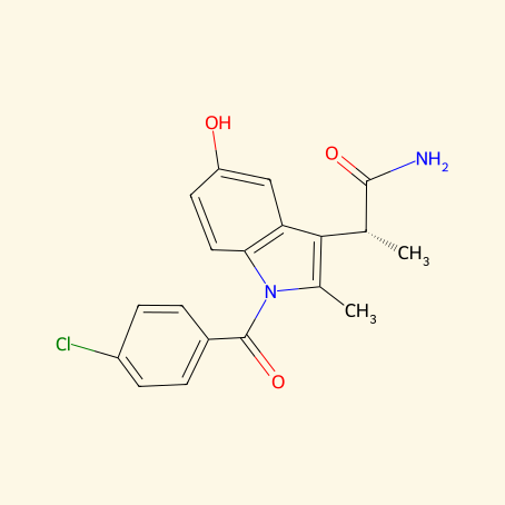 Cc1c([C@@H](C)C(N)=O)c2cc(O)ccc2n1C(=O)c1ccc(Cl)cc1